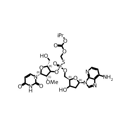 CO[C@H]1C(OP(=O)(OC[C@H]2O[C@@H](n3cnc4c(N)ccnc43)CC2O)SCOC(=O)OC(C)C)[C@@H](CO)O[C@H]1n1ccc(=O)[nH]c1=O